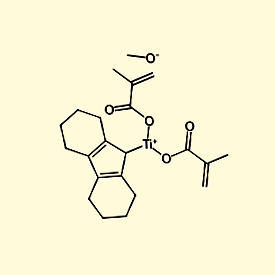 C=C(C)C(=O)[O][Ti+]([O]C(=O)C(=C)C)[CH]1C2=C(CCCC2)C2=C1CCCC2.C[O-]